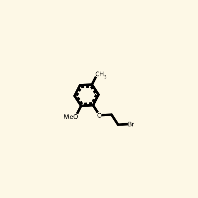 COc1ccc(C)cc1OCCBr